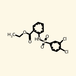 CCOC(=O)c1ccccc1NS(=O)(=O)c1ccc(Cl)c(Cl)c1